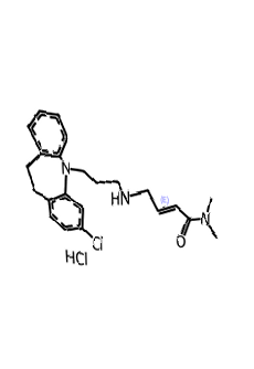 CN(C)C(=O)/C=C/CNCCCN1c2ccccc2CCc2ccc(Cl)cc21.Cl